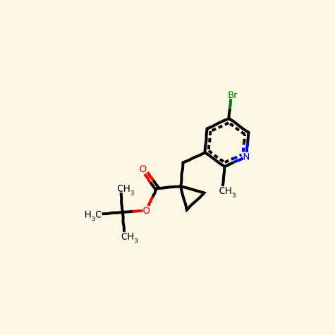 Cc1ncc(Br)cc1CC1(C(=O)OC(C)(C)C)CC1